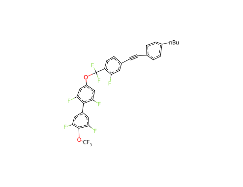 CCCCc1ccc(C#Cc2ccc(C(F)(F)Oc3cc(F)c(-c4cc(F)c(OC(F)(F)F)c(F)c4)c(F)c3)c(F)c2)cc1